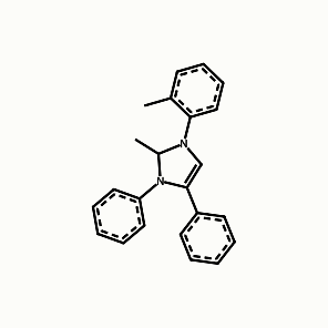 Cc1ccccc1N1C=C(c2ccccc2)N(c2ccccc2)C1C